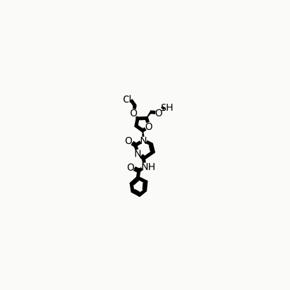 O=C(Nc1ccn([C@H]2C[C@@H](OCCl)[C@@H](COS)O2)c(=O)n1)c1ccccc1